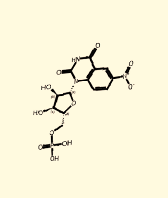 O=c1[nH]c(=O)n([C@@H]2O[C@H](COP(=O)(O)O)[C@@H](O)[C@H]2O)c2ccc([N+](=O)[O-])cc12